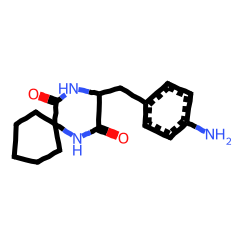 Nc1ccc(CC2NC(=O)C3(CCCCC3)NC2=O)cc1